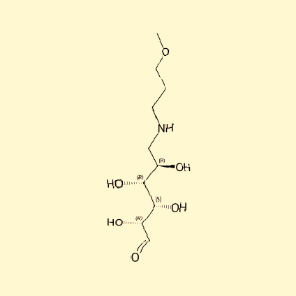 COCCCNC[C@@H](O)[C@@H](O)[C@H](O)[C@@H](O)C=O